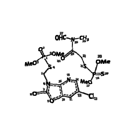 COP(=O)(OC)SCn1c(=O)oc2cc(Cl)cnc21.COP(=S)(OC)SCC(=O)N(C)C=O